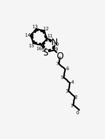 CCCCCCCCOc1nc2ccccc2s1